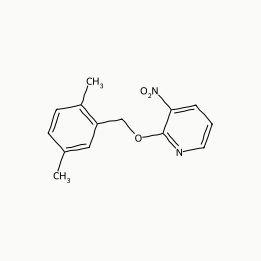 Cc1ccc(C)c(COc2ncccc2[N+](=O)[O-])c1